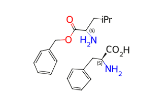 CC(C)C[C@H](N)C(=O)OCc1ccccc1.N[C@@H](Cc1ccccc1)C(=O)O